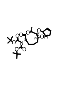 C[C@@H]1OC(=O)[C@@H](N(C(=O)OC(C)(C)C)C(=O)OC(C)(C)C)CCC[C@H](O)[C@@H]1OC1C=CCC1